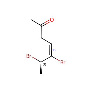 CC(=O)C/C=C(/Br)[C@@H](C)Br